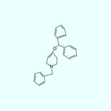 C1=C(OC(c2ccccc2)c2ccccc2)CCN(Cc2ccccc2)C1